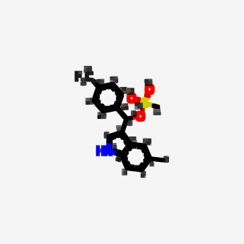 Cc1ccc2[nH]cc(C(OS(C)(=O)=O)c3ccc(C(F)(F)F)cc3)c2c1